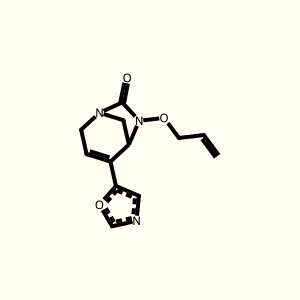 C=CCON1C(=O)N2CC=C(c3cnco3)C1C2